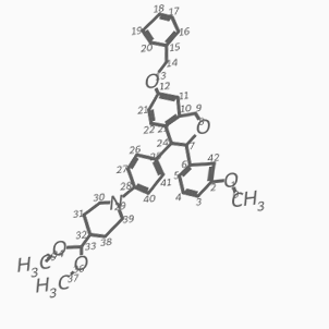 COc1cccc(C2OCc3cc(OCc4ccccc4)ccc3C2c2ccc(N3CCC(C(OC)OC)CC3)cc2)c1